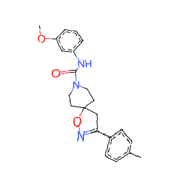 COc1cccc(NC(=O)N2CCC3(CC2)CC(c2ccc(C)cc2)=NO3)c1